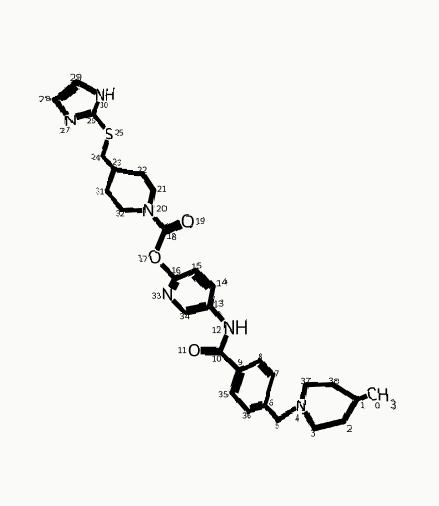 CC1CCN(Cc2ccc(C(=O)Nc3ccc(OC(=O)N4CCC(CSc5ncc[nH]5)CC4)nc3)cc2)CC1